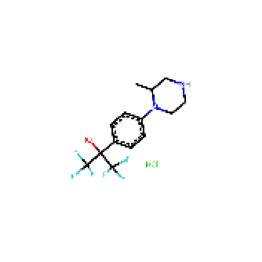 CC1CNCCN1c1ccc(C(O)(C(F)(F)F)C(F)(F)F)cc1.Cl